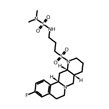 CN(C)S(=O)(=O)NCCCS(=O)(=O)N1CCC[C@@H]2CN3CCc4cc(F)ccc4[C@@H]3C[C@@H]21